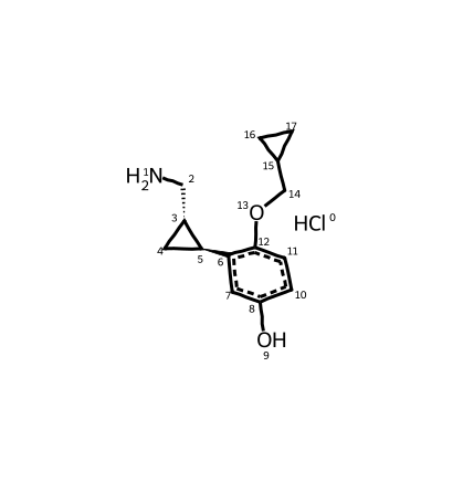 Cl.NC[C@H]1C[C@@H]1c1cc(O)ccc1OCC1CC1